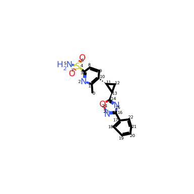 Cc1nc(S(N)(=O)=O)ccc1[C@@H]1C[C@H]1c1nc(-c2ccccc2)no1